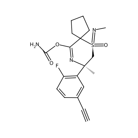 C#Cc1ccc(F)c([C@]2(C)C[S@](=O)(=NC)C3(CCCC3)C(OC(N)=O)=N2)c1